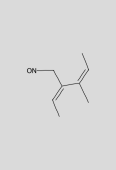 C/C=C(C)\C(=C/C)CN=O